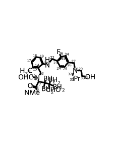 BC(B)(C=O)C(B)(B)C(C(=O)NC)N(C=O)Cc1c(C)cccc1NCc1ccc(CN(CCO)CC(C)C)cc1F